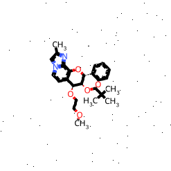 COCCO[C@@H]1c2ccn3cc(C)nc3c2O[C@H](c2ccccc2)[C@@H]1OC(=O)C(C)(C)C